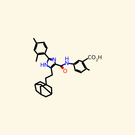 Cc1ccc(-c2nc(C(=O)Nc3ccc(C)c(C(=O)O)c3)c(CCC34CC5CC(CC(C5)C3)C4)[nH]2)c(C)c1